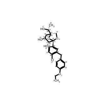 CCOc1ccc(Cc2cc([C@@]34OC[C@@]([C@@H](C)O)(C[C@H](O)[C@H]3O)O4)ccc2Cl)cc1